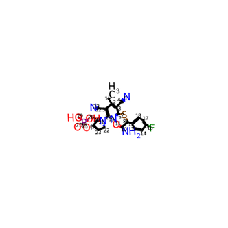 CCc1c(C#N)c(SC(C(N)=O)c2ccc(F)cc2)nc(N2CC[C@H](OP(=O)(O)O)C2)c1C#N